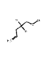 C=CCC(CC)(CC)COCC